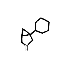 C1CCC(C23CNCC2C3)CC1